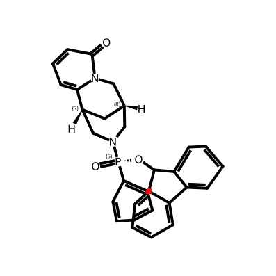 O=c1cccc2n1C[C@H]1C[C@@H]2CN([P@@](=O)(OC2c3ccccc3-c3ccccc32)c2ccccc2)C1